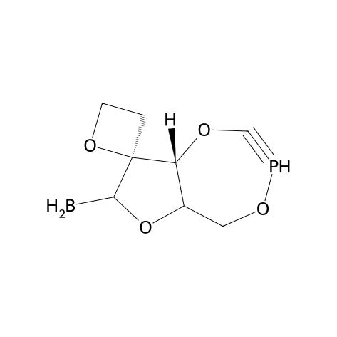 BC1OC2CO[PH]#CO[C@H]2[C@@]12CCO2